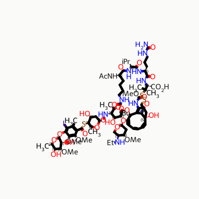 CCN[C@H]1CO[C@@H](O[C@H]2[C@H](O[C@H]3C#CC=CC#C[C@]4(O)CC(=O)C(NC(=O)OC)=C3/C4=C\CSSC(C)(C)[C@H](NC(=O)[C@H](CCCNC(N)=O)NC(=O)[C@@H](NC(=O)[C@H](CCCCNC(=O)OC(C)(C)C)NC(C)=O)C(C)C)C(=O)O)O[C@H](C)[C@@H](NO[C@H]3C[C@H](O)[C@H](SC(=O)c4c(C)c(I)c(O[C@@H]5O[C@@H](C)[C@H](O)[C@@H](OC)[C@H]5O)c(OC)c4OC)[C@@H](C)O3)[C@@H]2O)C[C@@H]1OC